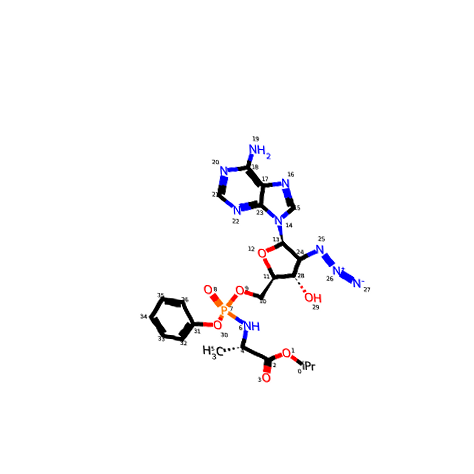 CC(C)OC(=O)[C@H](C)NP(=O)(OC[C@H]1O[C@@H](n2cnc3c(N)ncnc32)C(N=[N+]=[N-])[C@@H]1O)Oc1ccccc1